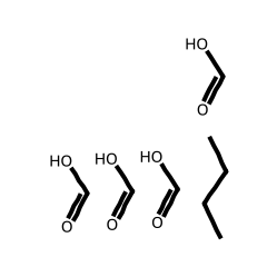 CCCC.O=CO.O=CO.O=CO.O=CO